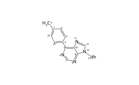 Cc1ccc(-c2ncnc3c2ncn3C(C)C)cc1